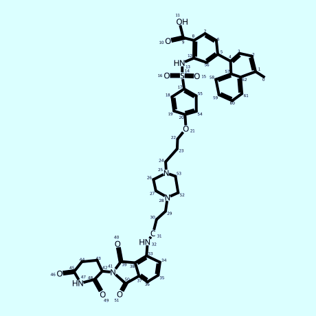 Cc1ccc(-c2ccc(C(=O)O)c(NS(=O)(=O)c3ccc(OCCCN4CCN(CCCNc5cccc6c5C(=O)N(C5CCC(=O)NC5=O)C6=O)CC4)cc3)c2)c2ccccc12